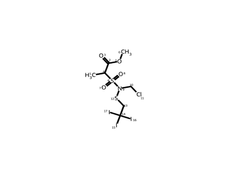 COC(=O)C(C)S(=O)(=O)N(CCl)SCC(I)(I)I